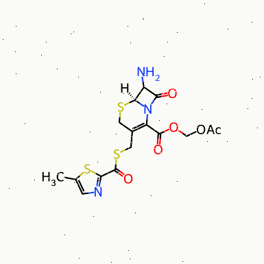 CC(=O)OCOC(=O)C1=C(CSC(=O)c2ncc(C)s2)CS[C@H]2C(N)C(=O)N12